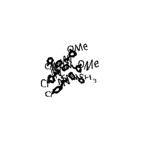 COc1cccc(-c2nsc(N3CCN(Cc4ccccc4C)CC3)n2)c1.COc1cccc(CCN2CCN(c3nc(-c4ccc(Cl)cc4)ns3)CC2)c1.Cc1ccccc1CN1CCN(c2nc(-c3ccc(Cl)cc3)ns2)CC1